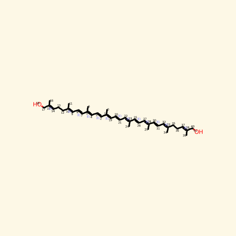 CC(/C=C/C=C(C)/C=C/C=C(\C)CC/C=C(\C)CO)=C\C=C\C=C(C)\C=C\C=C(C)\C=C\C=C(/C)CC/C=C(\C)CO